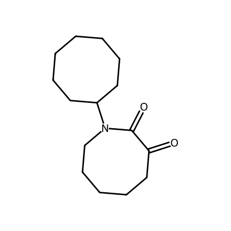 O=C1CCCCCN(C2CCCCCCC2)C1=O